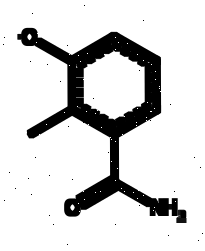 Cc1c([O])cccc1C(N)=O